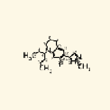 CCCC(CC)N1CCCc2cc(-c3cnn(C)c3)c(F)cc21